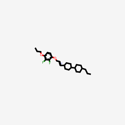 CCCOc1ccc(OC/C=C/C2CCC(C3CCC(CCC)CC3)CC2)c(F)c1F